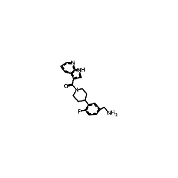 NCc1ccc(F)c(C2CCN(C(=O)c3c[nH]c4ncccc34)CC2)c1